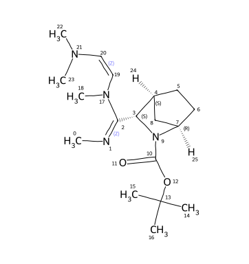 C/N=C(/[C@@H]1[C@H]2CC[C@H](C2)N1C(=O)OC(C)(C)C)N(C)/C=C\N(C)C